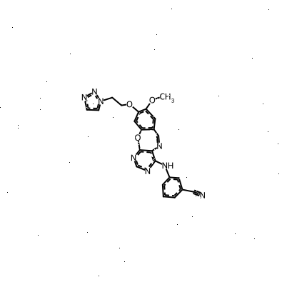 COc1cc2c(cc1OCCn1ccnn1)Oc1ncnc(Nc3cccc(C#N)c3)c1N=C2